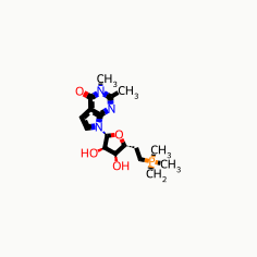 C=P(C)(C)CC[C@H]1O[C@@H](n2ccc3c(=O)n(C)c(C)nc32)[C@H](O)[C@@H]1O